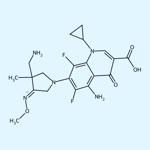 CO/N=C1\CN(c2c(F)c(N)c3c(=O)c(C(=O)O)cn(C4CC4)c3c2F)CC1(C)CN